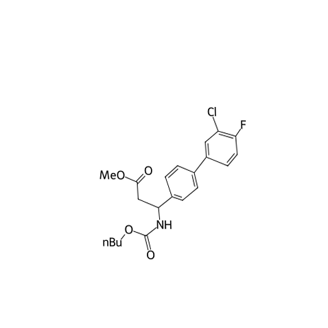 CCCCOC(=O)NC(CC(=O)OC)c1ccc(-c2ccc(F)c(Cl)c2)cc1